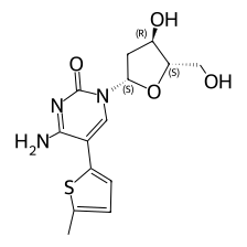 Cc1ccc(-c2cn([C@@H]3C[C@@H](O)[C@H](CO)O3)c(=O)nc2N)s1